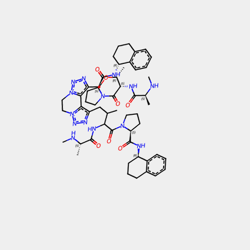 CN[C@@H](C)C(=O)NC(C(=O)N1CCC[C@H]1C(=O)N[C@@H]1CCCc2ccccc21)C(C)Cc1nnn2c1-c1c(CO[C@H](C)[C@H](NC(=O)[C@H](C)NC)C(=O)N3CCC[C@H]3C(=O)N[C@@H]3CCCc4ccccc43)nnn1CC2